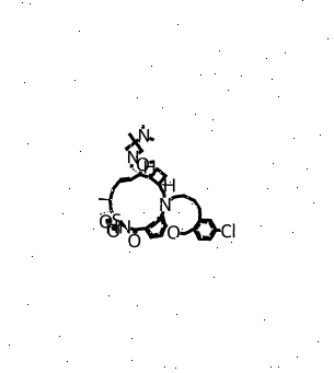 CO[C@]1(CN2CC(C)(N(C)C)C2)/C=C/C[C@H](C)[C@@H](C)S(=O)(=O)NC(=O)c2ccc3c(c2)N(CCCCc2cc(Cl)ccc2CO3)C[C@@H]2CC[C@H]21